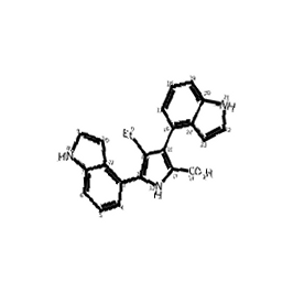 CCc1c(-c2cccc3[nH]ccc23)[nH]c(C(=O)O)c1-c1cccc2[nH]ccc12